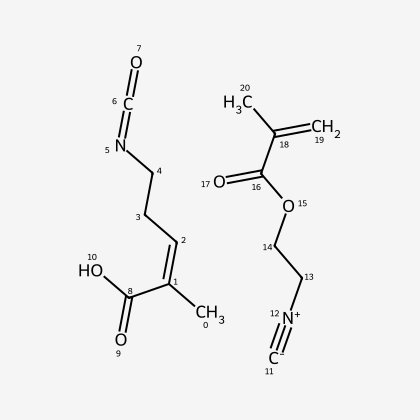 CC(=CCCN=C=O)C(=O)O.[C-]#[N+]CCOC(=O)C(=C)C